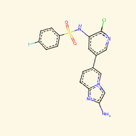 Nc1cn2cc(-c3cnc(Cl)c(NS(=O)(=O)c4ccc(F)cc4)c3)ccc2n1